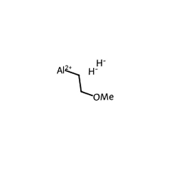 COC[CH2][Al+2].[H-].[H-]